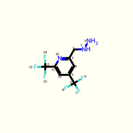 NNCc1cc(C(F)(F)F)cc(C(F)(F)F)n1